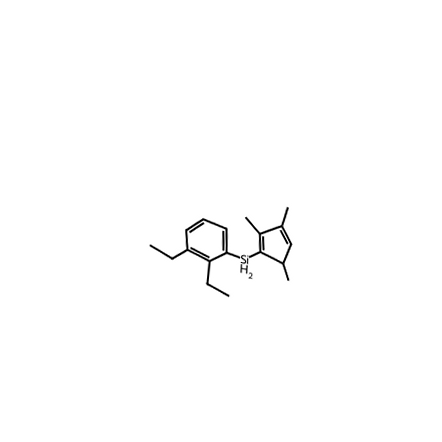 CCc1cccc([SiH2]C2=C(C)C(C)=CC2C)c1CC